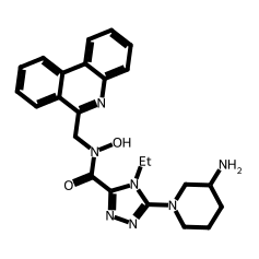 CCn1c(C(=O)N(O)Cc2nc3ccccc3c3ccccc23)nnc1N1CCCC(N)C1